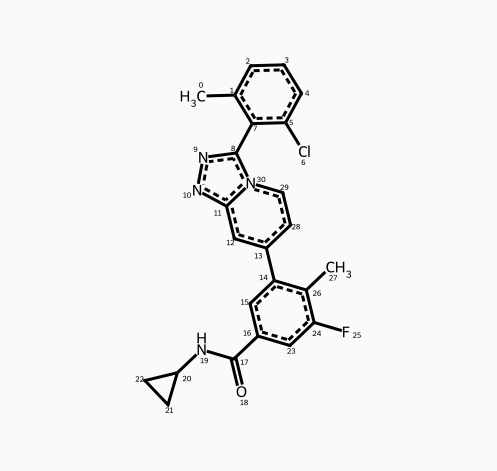 Cc1cccc(Cl)c1-c1nnc2cc(-c3cc(C(=O)NC4CC4)cc(F)c3C)ccn12